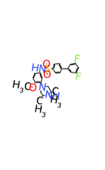 COc1ccc(NS(=O)(=O)c2ccc(-c3cc(F)cc(F)c3)cc2)cc1N1CC(C)NC(C)C1